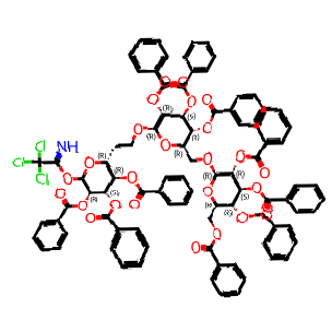 N=C(OC1O[C@H](CCO[C@@H]2O[C@H](CO[C@@H]3O[C@H](COC(=O)c4ccccc4)[C@@H](OC(=O)c4ccccc4)[C@H](OC(=O)c4ccccc4)[C@H]3OC(=O)c3ccccc3)[C@@H](OC(=O)c3ccccc3)[C@H](OC(=O)c3ccccc3)[C@H]2OC(=O)c2ccccc2)[C@@H](OC(=O)c2ccccc2)[C@H](OC(=O)c2ccccc2)[C@H]1OC(=O)c1ccccc1)C(Cl)(Cl)Cl